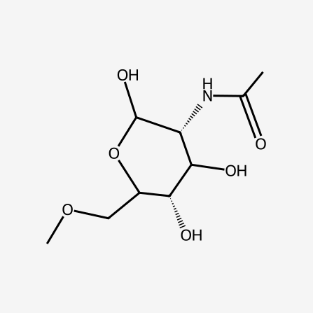 COCC1OC(O)[C@H](NC(C)=O)C(O)[C@@H]1O